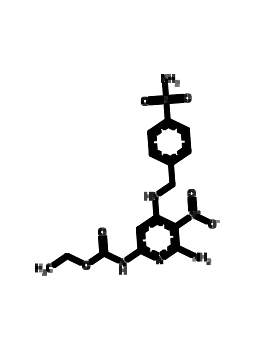 CCOC(=O)Nc1cc(NCc2ccc(S(N)(=O)=O)cc2)c([N+](=O)[O-])c(N)n1